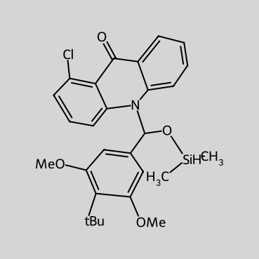 COc1cc(C(O[SiH](C)C)n2c3ccccc3c(=O)c3c(Cl)cccc32)cc(OC)c1C(C)(C)C